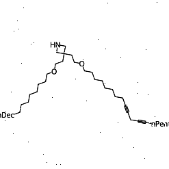 CCCCCC#CCC#CCCCCCCCCOCCC1(CCOCCCCCCCCCCCCCCCCCC)CNC1